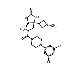 CC(CC1(C2CN(C)C2)NC(=O)NC1=O)C(=O)N1CCN(c2cc(Cl)cc(Cl)c2)CC1